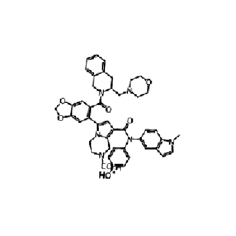 Cn1ccc2cc(N(C(=O)c3cc(-c4cc5c(cc4C(=O)N4Cc6ccccc6C[C@H]4CN4CCOCC4)OCO5)n4c3CN(C(=O)O)CC4)c3ccc(O)cc3)ccc21